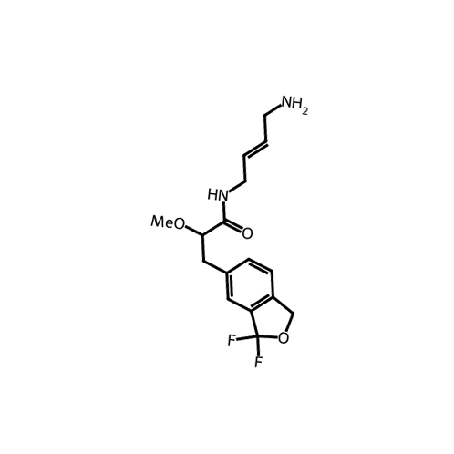 COC(Cc1ccc2c(c1)C(F)(F)OC2)C(=O)NC/C=C/CN